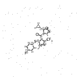 Cn1nc(C(F)(F)F)c(C(=O)c2cnoc2C2CC2)c1Sc1ccc(F)cc1